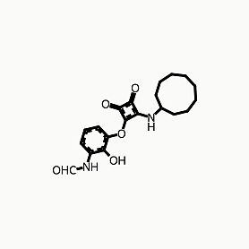 O=CNc1cccc(Oc2c(NC3CCCCCCCC3)c(=O)c2=O)c1O